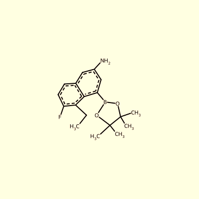 CCc1c(F)ccc2cc(N)cc(B3OC(C)(C)C(C)(C)O3)c12